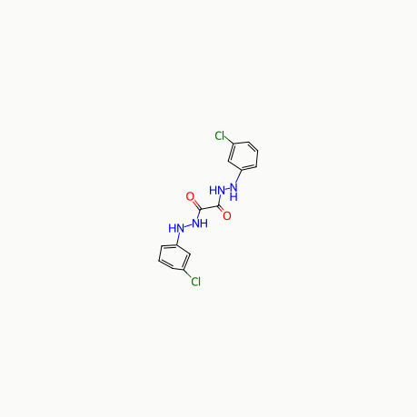 O=C(NNc1cccc(Cl)c1)C(=O)NNc1cccc(Cl)c1